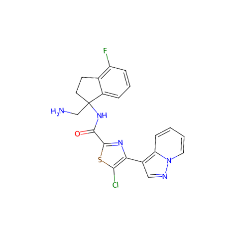 NCC1(NC(=O)c2nc(-c3cnn4ccccc34)c(Cl)s2)CCc2c(F)cccc21